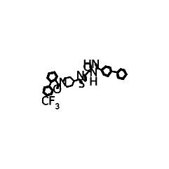 N=C(NC(=O)c1csc(C2CCN(C(=O)c3ccccc3-c3ccc(C(F)(F)F)cc3)CC2)n1)c1ccc(-c2ccccc2)cc1